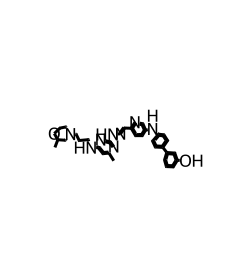 Cc1cc(NCCCN2CCOC(C)C2)nc(N/N=C/c2ccc(Nc3ccc(-c4cccc(O)c4)cc3)cn2)n1